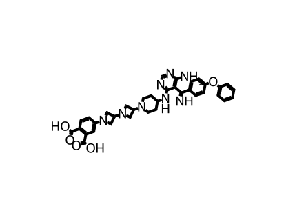 N=C(c1ccc(Oc2ccccc2)cc1)c1c(N)ncnc1NC1CCN(C2CN(C3CN(c4ccc(C(=O)O)c(C(=O)O)c4)C3)C2)CC1